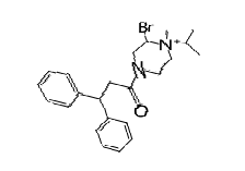 CC(C)[N+]1(C)CCN(C(=O)CC(c2ccccc2)c2ccccc2)CC1Br